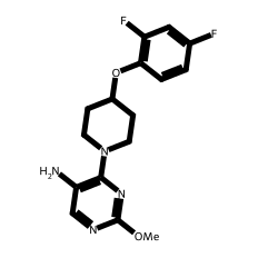 COc1ncc(N)c(N2CCC(Oc3ccc(F)cc3F)CC2)n1